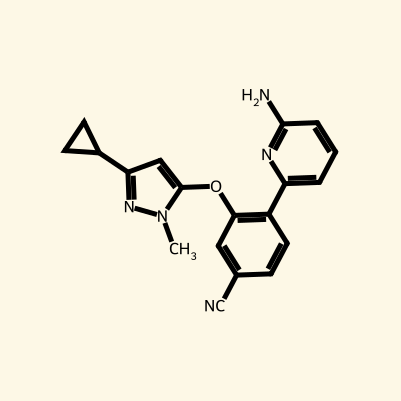 Cn1nc(C2CC2)cc1Oc1cc(C#N)ccc1-c1cccc(N)n1